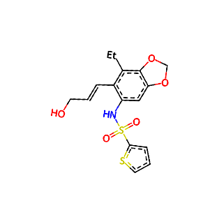 CCc1c(/C=C/CO)c(NS(=O)(=O)c2cccs2)cc2c1OCO2